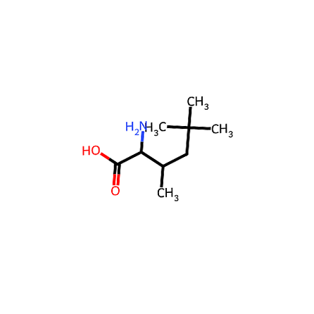 CC(CC(C)(C)C)C(N)C(=O)O